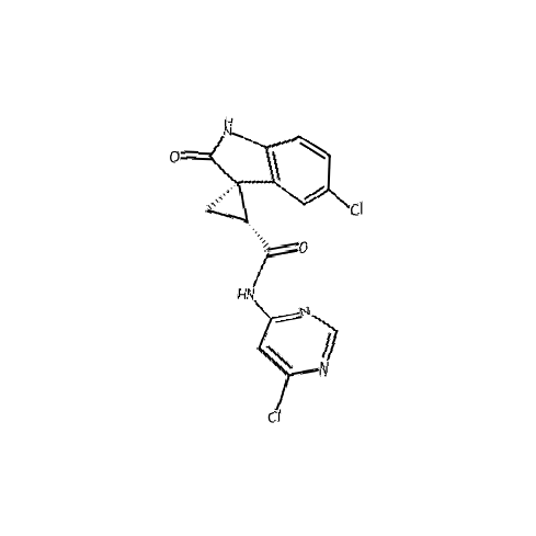 O=C(Nc1cc(Cl)ncn1)[C@@H]1C[C@@]12C(=O)Nc1ccc(Cl)cc12